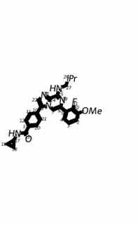 COc1cccc(-c2cn3c(-c4ccc(C(=O)NC5CC5)cc4)cnc3c(NCC(C)C)n2)c1F